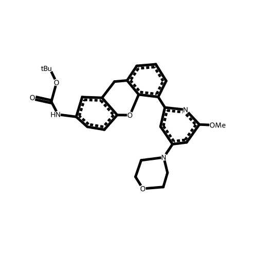 COc1cc(N2CCOCC2)cc(-c2cccc3c2Oc2ccc(NC(=O)OC(C)(C)C)cc2C3)n1